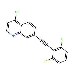 Fc1cccc(F)c1C#Cc1ccc2c(Cl)ccnc2c1